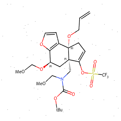 C=CCO[C@]12CC=C(OS(=O)(=O)C(F)(F)F)[C@@]1(CN(COC)C(=O)OC(C)(C)C)C[C@@H](OCOC)c1occc12